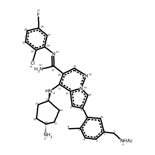 CC(=O)NCc1ccc(C)c(-c2cc3c(N[C@H]4CC[C@H](N)CC4)c(/C(N)=N/c4cc(F)ccc4Cl)cnn3c2)c1